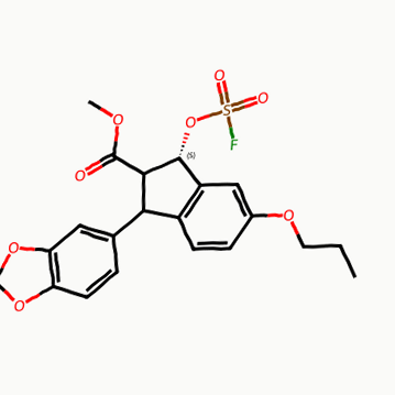 CCCOc1ccc2c(c1)[C@@H](OS(=O)(=O)F)C(C(=O)OC)C2c1ccc2c(c1)OCO2